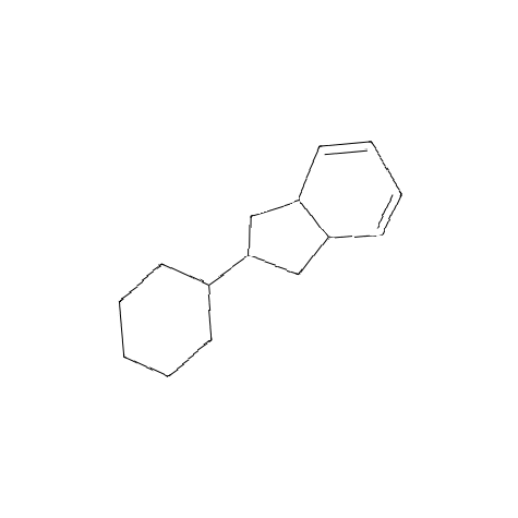 C1=CC2CC(C3CCCCC3)CC2C=C1